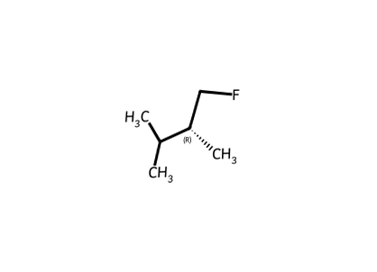 CC(C)[C@@H](C)CF